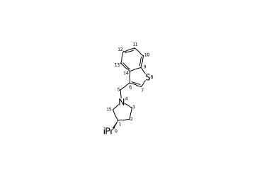 CC(C)[C@@H]1CCN(Cc2csc3ccccc23)C1